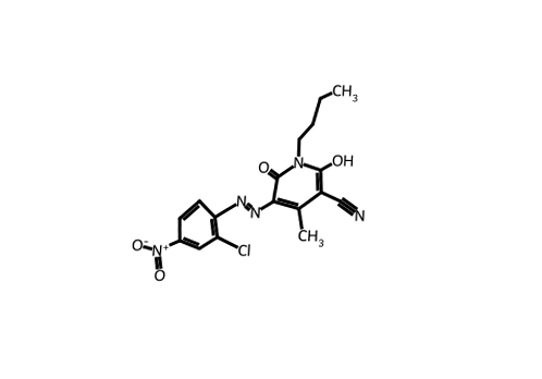 CCCCn1c(O)c(C#N)c(C)c(N=Nc2ccc([N+](=O)[O-])cc2Cl)c1=O